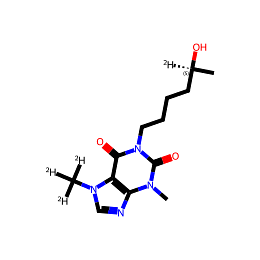 [2H]C([2H])([2H])n1cnc2c1c(=O)n(CCCC[C@]([2H])(C)O)c(=O)n2C